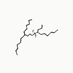 CCCCCCC(CCCCCC)CCCC(F)(F)C(CCC)CCCCCC